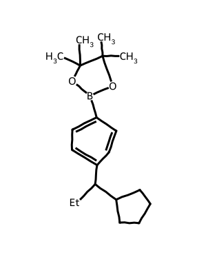 CCC(c1ccc(B2OC(C)(C)C(C)(C)O2)cc1)C1CCCC1